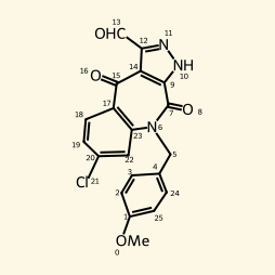 COc1ccc(Cn2c(=O)c3[nH]nc(C=O)c3c(=O)c3ccc(Cl)cc32)cc1